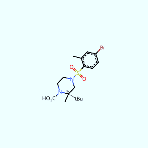 Cc1cc(Br)ccc1S(=O)(=O)N1CCN(C(=O)O)[C@@](C)(C(C)(C)C)C1